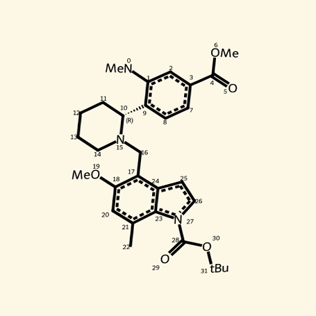 CNc1cc(C(=O)OC)ccc1[C@H]1CCCCN1Cc1c(OC)cc(C)c2c1ccn2C(=O)OC(C)(C)C